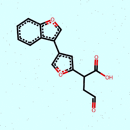 O=CCC(C(=O)O)c1cc(-c2coc3ccccc23)co1